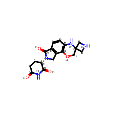 O=C1CC[C@H](N2Cc3c(ccc4c3OCC3(CNC3)N4)C2=O)C(=O)N1